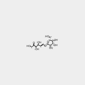 O=C(CO)C(O)C(O)/C=C/O[C@H]1O[C@H](CO)[C@@H](O)[C@H](O)[C@H]1O